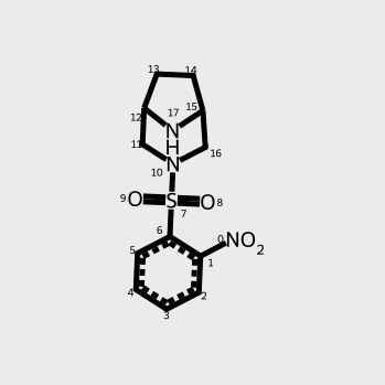 O=[N+]([O-])c1ccccc1S(=O)(=O)N1CC2CCC(C1)N2